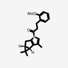 COc1ccccc1CCC(=O)n1cc(C)c2c1C[C@@H]1[C@H]2C1(C)C